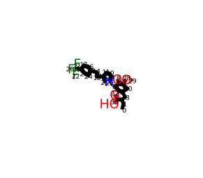 CCC(Cc1ccc(Oc2ccc(C=Cc3ccc(C(F)(F)F)cc3)cn2)c(OC)c1)C(=O)O